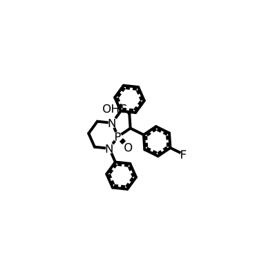 O=CCC(c1ccc(F)cc1)P1(=O)N(c2ccccc2)CCCN1c1ccccc1